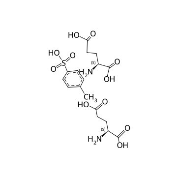 Cc1ccc(S(=O)(=O)O)cc1.N[C@@H](CCC(=O)O)C(=O)O.N[C@@H](CCC(=O)O)C(=O)O